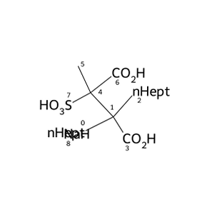 CCCCCCCC(CCCCCCC)(C(=O)O)C(C)(C(=O)O)S(=O)(=O)O.[NaH]